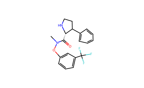 CN(Oc1cccc(C(F)(F)F)c1)C(=O)[C@@H]1NCCC1c1ccccc1